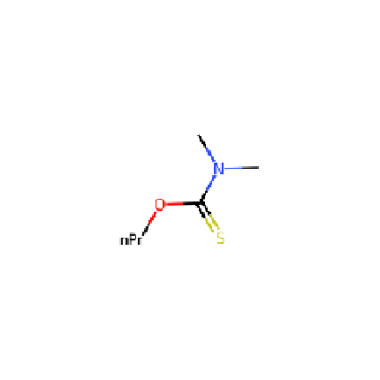 CCCOC(=S)N(C)C